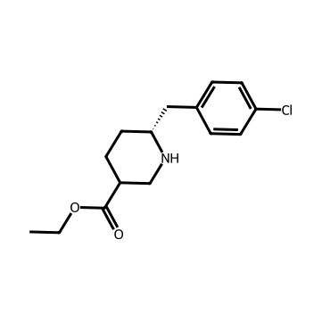 CCOC(=O)C1CC[C@H](Cc2ccc(Cl)cc2)NC1